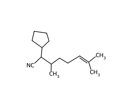 CC(C)=CCCC(C)C(C#N)C1CCCC1